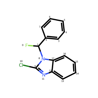 FC(c1ccccc1)n1c(Cl)nc2ccccc21